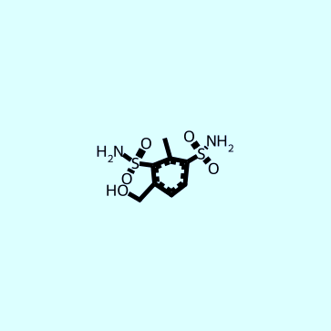 Cc1c(S(N)(=O)=O)ccc(CO)c1S(N)(=O)=O